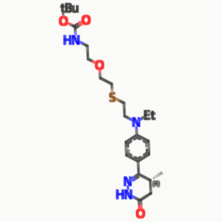 CCN(CCSCCOCCNC(=O)OC(C)(C)C)c1ccc(C2=NNC(=O)C[C@H]2C)cc1